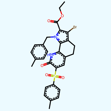 CCOC(=O)c1c(Br)c2c(n1Cc1ccc(C)cc1)-c1[nH]c(=O)c(S(=O)(=O)c3ccc(C)cc3)cc1CC2